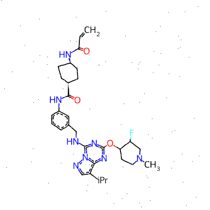 C=CC(=O)N[C@H]1CC[C@@H](C(=O)Nc2cccc(CNc3nc(OC4CCN(C)CC4F)nc4c(C(C)C)cnn34)c2)CC1